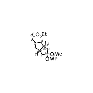 CCOC(=O)CC1C[C@@H]2CC(OC)(OC)C[C@@H]2C1